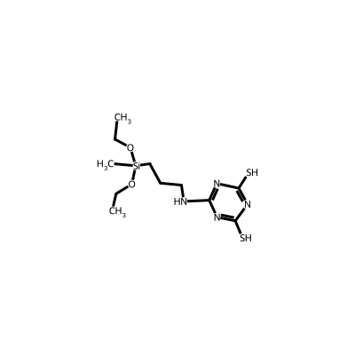 CCO[Si](C)(CCCNc1nc(S)nc(S)n1)OCC